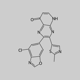 Cc1ncc(-c2nc3[nH]ccc(=O)c3nc2-c2cc(Cl)c3ncoc3c2)s1